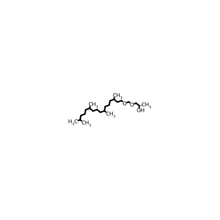 CC(C)CCCC(C)CCCC(C)CCCC(C)CCOCOC[C@H](C)O